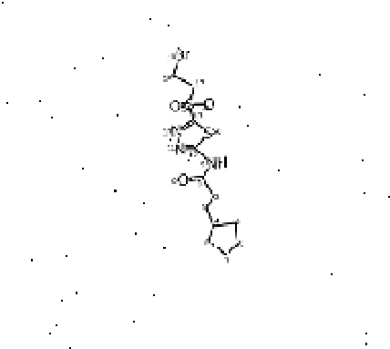 O=C(CCC1CCCC1)Nc1nnc(S(=O)(=O)CCBr)s1